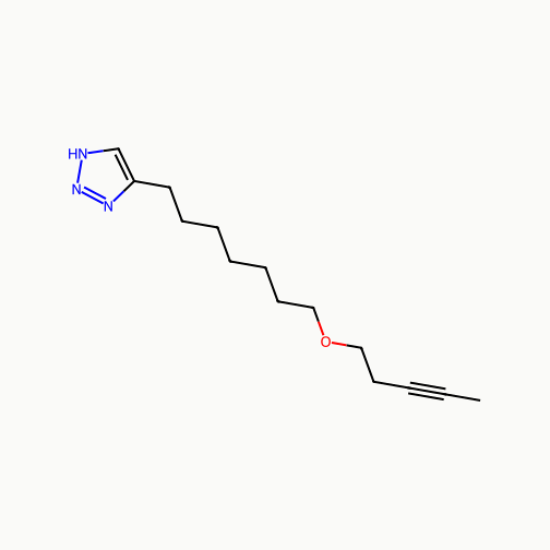 CC#CCCOCCCCCCCc1c[nH]nn1